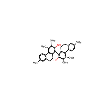 COc1ccc2c(c1)CCc1c(-c3c(O)c(OC)c(OC)c4c3CCc3cc(OC)ccc3-4)c(O)c(OC)c(OC)c1-2